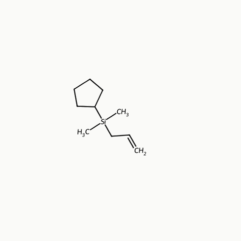 C=CC[Si](C)(C)C1CCCC1